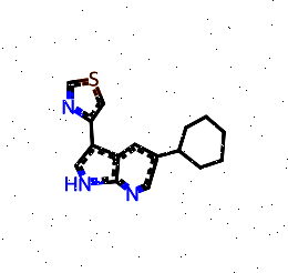 c1nc(-c2c[nH]c3ncc(C4CCCCC4)cc23)cs1